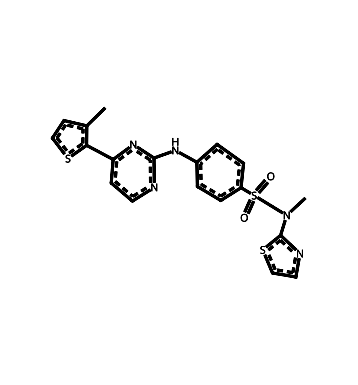 Cc1ccsc1-c1ccnc(Nc2ccc(S(=O)(=O)N(C)c3nccs3)cc2)n1